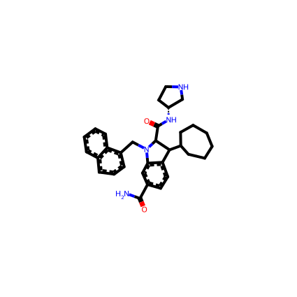 NC(=O)c1ccc2c(c1)N(Cc1cccc3ccccc13)C(C(=O)N[C@@H]1CCNC1)C2C1CCCCCC1